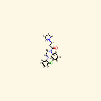 O=C(CCN1CCCC1)N1CCN(c2ccccc2Cl)c2ccccc21